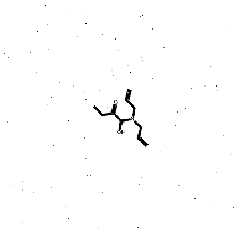 C=CCN(CC=C)C(O)C(=O)CC